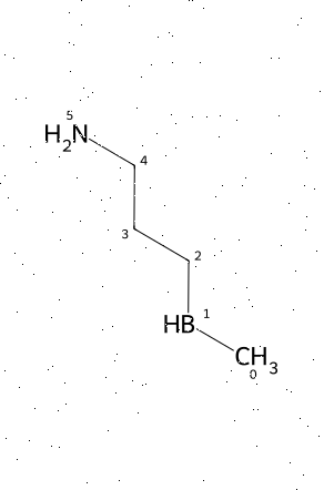 CBCCCN